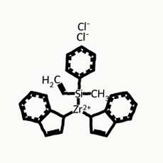 C=C[Si](C)(c1ccccc1)[Zr+2]([CH]1C=Cc2ccccc21)[CH]1C=Cc2ccccc21.[Cl-].[Cl-]